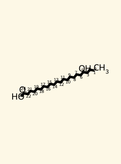 CCCCC(O)CCCCCCCCCCCCCCCCCC(=O)O